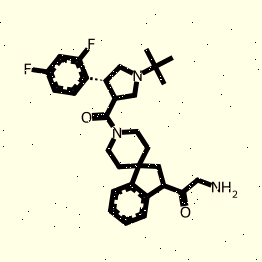 CC(C)(C)N1CC(C(=O)N2CCC3(CC2)CC(C(=O)CN)c2ccccc23)[C@H](c2ccc(F)cc2F)C1